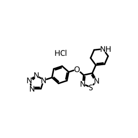 C1=C(c2nsnc2Oc2ccc(-n3cnnn3)cc2)CCNC1.Cl